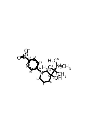 CN(C)C(C)(C)C1(O)CCCN(c2ccc([N+](=O)[O-])nc2)C1